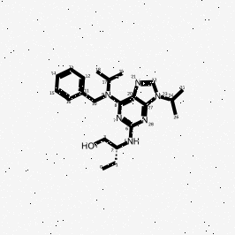 CC[C@H](CO)Nc1nc(N(Cc2ccccc2)C(C)C)c2ncn(C(C)C)c2n1